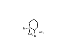 O=C(O)C1(Br)CCCCC1Br.[AlH3]